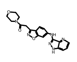 O=C(Cc1noc2cc(Nc3n[nH]c4cccnc34)ccc12)N1CCOCC1